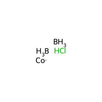 B.B.Cl.[Co]